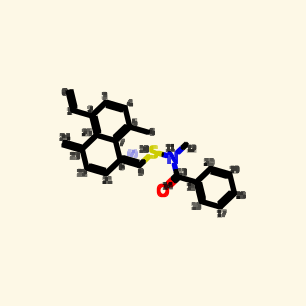 C=Cc1ccc(C)c2/c(=C\SN(C)C(=O)c3ccccc3)ccc(=C)c12